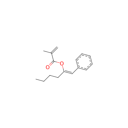 C=C(C)C(=O)OC(=Cc1ccccc1)CCCC